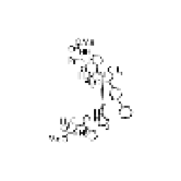 C/C=C(/c1ccc(-c2ccccc2)cc1)C(C)(C#CC#Cc1cnc([C@@H]2CCCN2C(=O)[C@@H](C)NC(=O)OC)[nH]1)/N=C(\N)[C@@H]1CCCN1C(=O)[C@@H](NC(=O)OC)C(C)C